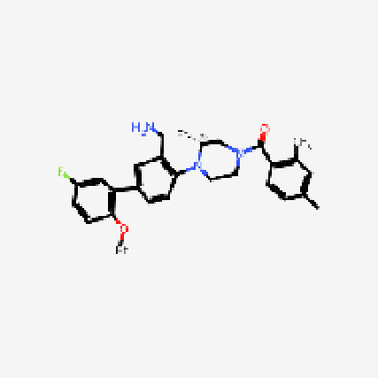 CCOc1ccc(F)cc1-c1ccc(N2CCN(C(=O)c3ccc(C)cc3C(F)(F)F)C[C@H]2CC)c(CN)c1